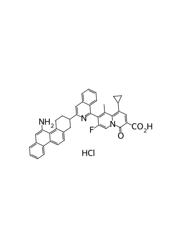 Cc1c(-c2nc(C3CCc4c(ccc5c4c(N)cc4ccccc45)C3)cc3ccccc23)c(F)cn2c(=O)c(C(=O)O)cc(C3CC3)c12.Cl